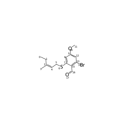 CCC(C)=CCSc1cc(OC)cc(Br)c1C=O